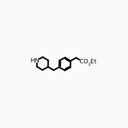 CCOC(=O)Cc1ccc(CC2CCNCC2)cc1